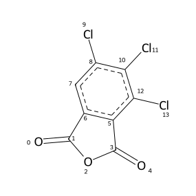 O=C1OC(=O)c2c1cc(Cl)c(Cl)c2Cl